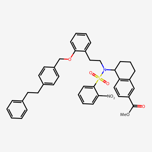 COC(=O)c1ccc2c(c1)CCCC2N(CCc1ccccc1OCc1ccc(CCc2ccccc2)cc1)S(=O)(=O)c1ccccc1[N+](=O)[O-]